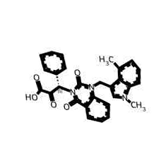 Cc1cccc2c1c(Cn1c(=O)n([C@H](C(=O)C(=O)O)c3ccccc3)c(=O)c3ccccc31)cn2C